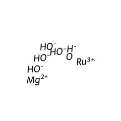 [Mg+2].[OH-].[OH-].[OH-].[OH-].[OH-].[Ru+3]